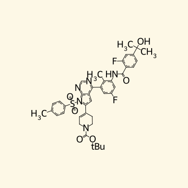 Cc1ccc(S(=O)(=O)n2c(C3=CCN(C(=O)OC(C)(C)C)CC3)cc3c(-c4cc(F)cc(NC(=O)c5ccc(C(C)(C)O)cc5F)c4C)ncnc32)cc1